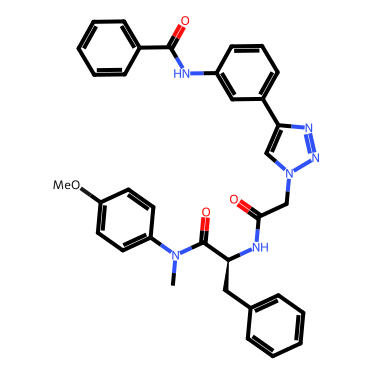 COc1ccc(N(C)C(=O)[C@H](Cc2ccccc2)NC(=O)Cn2cc(-c3cccc(NC(=O)c4ccccc4)c3)nn2)cc1